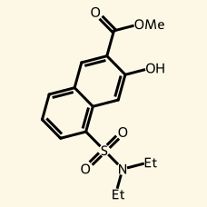 CCN(CC)S(=O)(=O)c1cccc2cc(C(=O)OC)c(O)cc12